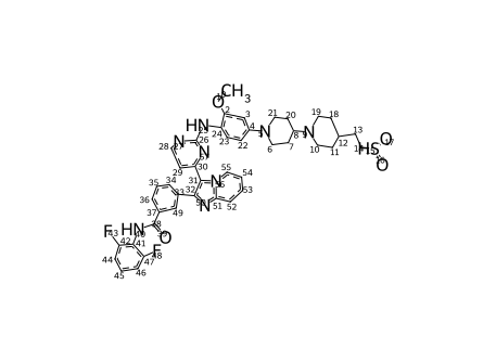 COc1cc(N2CCC(N3CCC(CC[SH](=O)=O)CC3)CC2)ccc1Nc1nccc(-c2c(-c3cccc(C(=O)Nc4c(F)cccc4F)c3)nc3ccccn23)n1